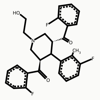 Cc1c(F)cccc1C1[C@@H](C(=O)c2ccccc2F)CN(CCO)C[C@@H]1C(=O)c1ccccc1F